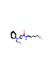 CCCCCCNC(=O)N1CC(N(CC)c2ccccc2)C1